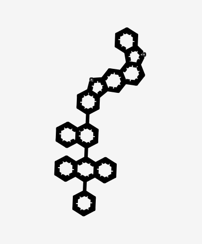 c1ccc(-c2c3ccccc3c(-c3ccc(-c4ccc5oc6cc7c(ccc8oc9ccccc9c87)cc6c5c4)c4ccccc34)c3ccccc23)cc1